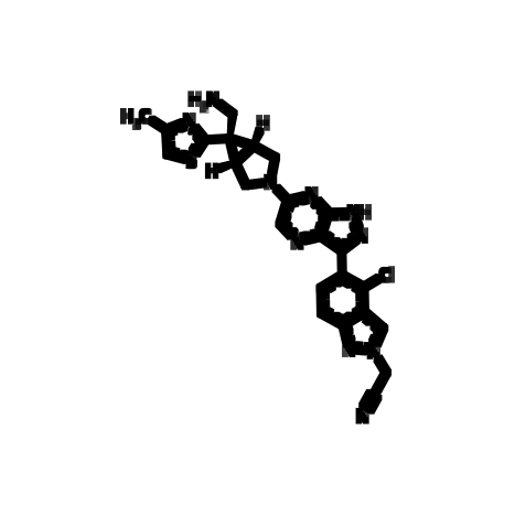 Cc1csc([C@]2(CN)[C@@H]3CN(c4cnc5c(-c6ccc7nn(CC#N)cc7c6Cl)n[nH]c5n4)C[C@@H]32)n1